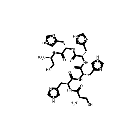 N[C@@H](CS)C(=O)N[C@@H](Cc1c[nH]cn1)C(=O)N[C@@H](Cc1c[nH]cn1)C(=O)N[C@@H](Cc1c[nH]cn1)C(=O)N[C@@H](Cc1c[nH]cn1)C(=O)N[C@@H](CS)C(=O)O